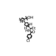 CCC(NC(=O)c1ccc(Cl)cc1)[C@H]1[C@@H]2C[C@@H](n3nncc3C(C)(C)O)C[C@@H]21